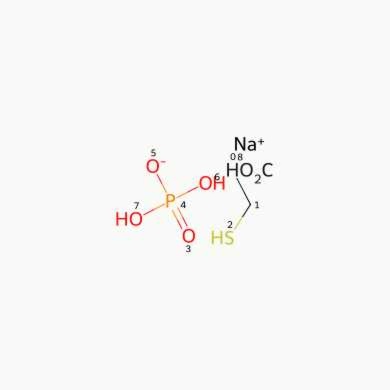 O=C(O)CS.O=P([O-])(O)O.[Na+]